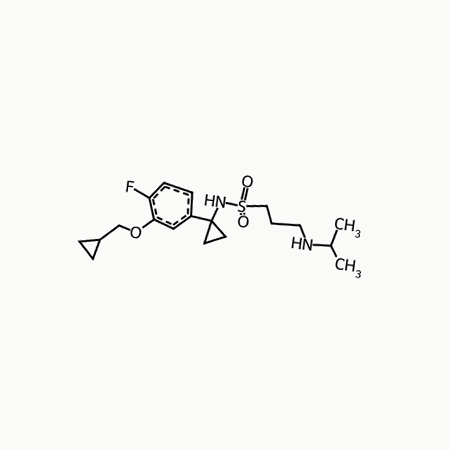 CC(C)NCCCS(=O)(=O)NC1(c2ccc(F)c(OCC3CC3)c2)CC1